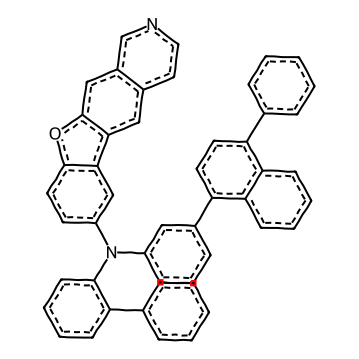 c1ccc(-c2ccccc2N(c2cccc(-c3ccc(-c4ccccc4)c4ccccc34)c2)c2ccc3oc4cc5cnccc5cc4c3c2)cc1